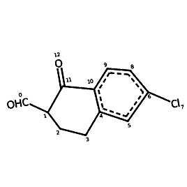 O=CC1CCc2cc(Cl)ccc2C1=O